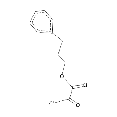 O=C(Cl)C(=O)OCCCc1ccccc1